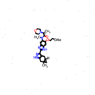 COCCOc1cc2[nH]c(-c3n[nH]c4c3C[C@@H]3C[C@]3(C)C4)nc2cc1N(C)C(=O)[C@H](C)N1CCOCC1